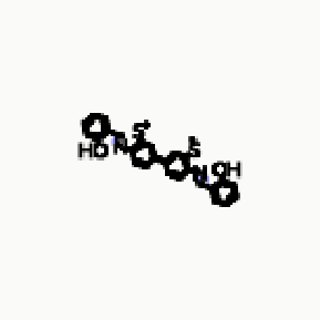 CSc1cc(-c2ccc(/N=C/c3ccccc3O)c(SC)c2)ccc1/N=C/c1ccccc1O